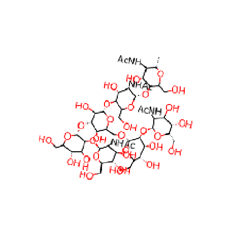 CC(=O)NC1C(O)[C@H](O)[C@H](CO)O[C@H]1OC1[C@@H](OCC2O[C@@H](O[C@@H]3C(CO)O[C@@H](O[C@@H]4C(CO)O[C@@H](C)C(NC(C)=O)[C@H]4O)C(NC(C)=O)[C@H]3O)C(O)[C@@H](O[C@H]3OC(CO)[C@@H](O)C(O)C3O[C@@H]3OC(CO)[C@@H](O)[C@H](O)C3NC(C)=O)[C@@H]2O)OC(CO)[C@@H](O)[C@@H]1O